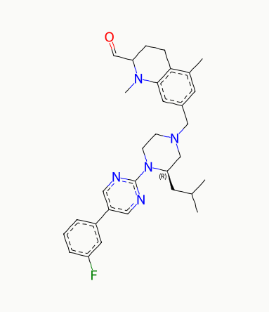 Cc1cc(CN2CCN(c3ncc(-c4cccc(F)c4)cn3)[C@H](CC(C)C)C2)cc2c1CCC(C=O)N2C